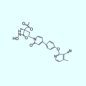 Cc1ccnc(Oc2ccc(-c3ccn(CC[C@](C)(C(=O)NO)S(C)(=O)=O)c(=O)c3)cc2)c1C#N